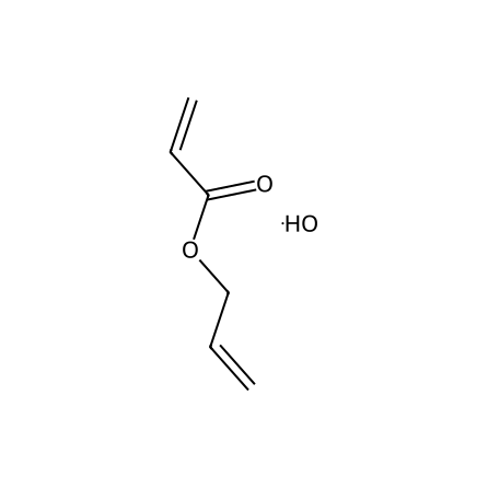 C=CCOC(=O)C=C.[OH]